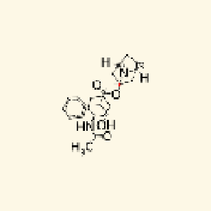 CC(=O)N[C@H]1CC[C@H](CCN2[C@@H]3CC[C@H]2CC(OC(=O)C(CO)c2ccccc2)C3)CC1